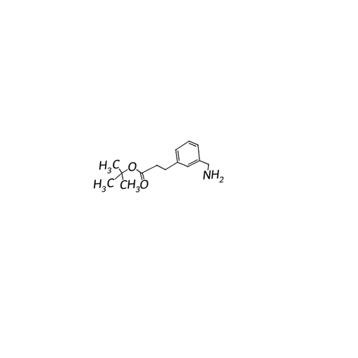 CC(C)(C)OC(=O)CCc1cccc(CN)c1